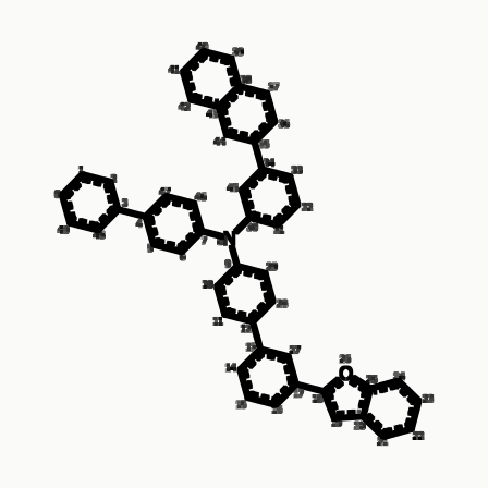 c1ccc(-c2ccc(N(c3ccc(-c4cccc(-c5cc6ccccc6o5)c4)cc3)c3cccc(-c4ccc5ccccc5c4)c3)cc2)cc1